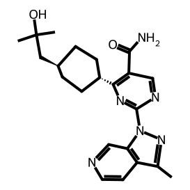 Cc1nn(-c2ncc(C(N)=O)c([C@H]3CC[C@H](CC(C)(C)O)CC3)n2)c2cnccc12